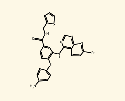 CC(C)c1ccc2c(Nc3cc(C(=O)NCc4cccs4)ccc3Sc3ccc(N)cc3)ncnc2n1